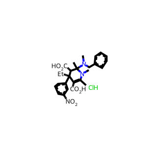 CCC1(c2cccc([N+](=O)[O-])c2)C(C(=O)O)=C(C)N(C)C(C)(N(C)Cc2ccccc2)C1C(=O)O.Cl